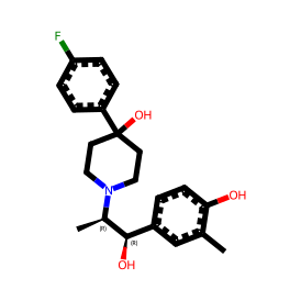 Cc1cc([C@@H](O)[C@@H](C)N2CCC(O)(c3ccc(F)cc3)CC2)ccc1O